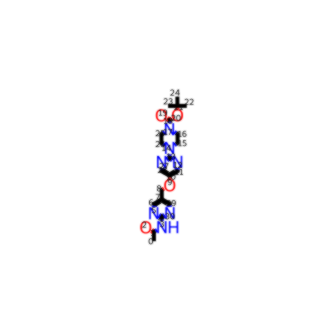 CC(=O)Nc1ncc(COc2cnc(N3CCN(C(=O)OC(C)(C)C)CC3)nc2)cn1